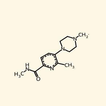 [CH2]N1CCN(c2ccc(C(=O)NC)nc2C)CC1